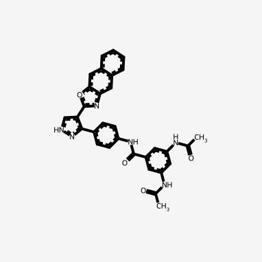 CC(=O)Nc1cc(NC(C)=O)cc(C(=O)Nc2ccc(-c3n[nH]cc3-c3nc4cc5ccccc5cc4o3)cc2)c1